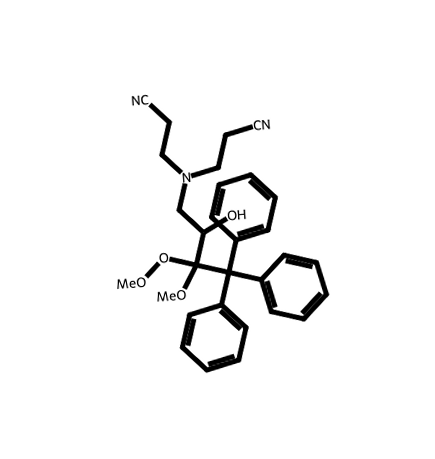 COOC(OC)(C(O)CN(CCC#N)CCC#N)C(c1ccccc1)(c1ccccc1)c1ccccc1